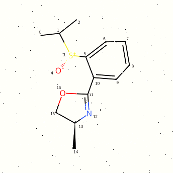 CC(C)[S@@+]([O-])c1ccccc1C1=N[C@@H](C)CO1